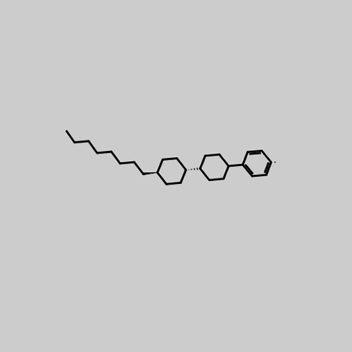 CCCCCCCC[C@H]1CC[C@H](C2CCC(c3cc[c]cc3)CC2)CC1